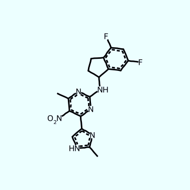 Cc1nc(-c2nc(NC3CCc4c(F)cc(F)cc43)nc(C)c2[N+](=O)[O-])c[nH]1